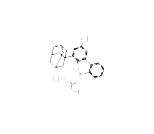 Cc1cc2c(c(C34CC5CC(CC(C5)C3)C4)c1)OB(OC(C)C)c1ccccc1-2